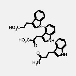 NC(=O)CCc1c[nH]c2ccccc12.O=C(O)C(=O)Cc1c[nH]c2ccccc12.O=C(O)CCc1c[nH]c2ccccc12